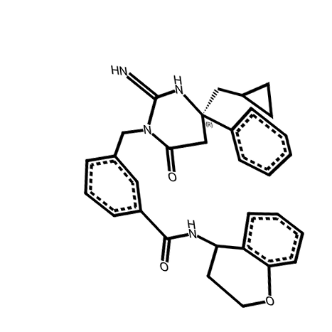 N=C1N[C@@](CC2CC2)(c2ccccc2)CC(=O)N1Cc1cccc(C(=O)NC2CCOc3ccccc32)c1